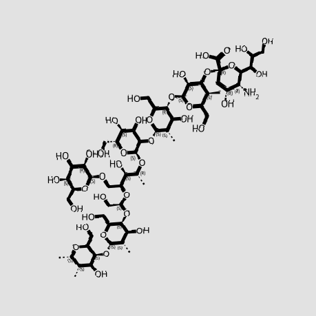 C[C@H]1C(CO)O[C@@H](O[C@H]2C(CO)O[C@@H](OC3C(O)[C@H](O)[C@@H](CO)O[C@@H]3O[C@H](C)[C@H](O)C(CO[C@H]3OC(CO)[C@@H](O)C(O)[C@H]3O)O[C@H](CO)O[C@@H]3C(CO)O[C@@H](O[C@@H]4C(CO)O[C@@H](C)[C@@H](C)C4O)[C@@H](C)C3O)[C@@H](C)C2O)[C@@H](O)C1O[C@]1(C(=O)O)C[C@@H](O)[C@@H](N)C(C(O)C(O)CO)O1